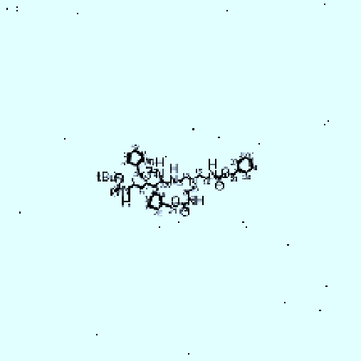 CC(C)(C)OC(=O)NCCCCC(CNCCN(CCNC(=O)OCc1ccccc1)CCNC(=O)OCc1ccccc1)NC(=O)OCc1ccccc1